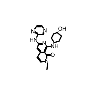 CCn1ccc2cc(Nc3cnccn3)nc(N[C@H]3CC[C@@H](O)CC3)c2c1=O